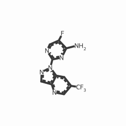 Nc1nc(-n2ncc3ncc(C(F)(F)F)cc32)ncc1F